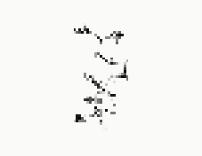 CNC(O)C[C@H]1CC=C1S(=O)(=O)N[Si](C)(C)C(C)(C)C